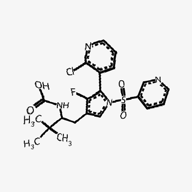 CC(C)(C)C(Cc1cn(S(=O)(=O)c2cccnc2)c(-c2cccnc2Cl)c1F)NC(=O)O